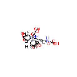 C=C1C(=O)O[C@H]2[C@H]1CC/C(CC(CCCCCCCCCNC(=O)CCC(=O)O)(C/C1=C/CC[C@@]3(C)O[C@H]3[C@H]3OC(=O)C(=C)[C@@H]3CC1)NC(=O)CCC(=O)O)=C\CC[C@@]1(C)O[C@@H]21